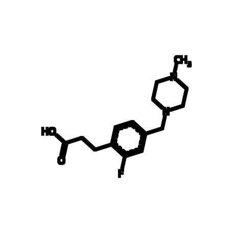 CN1CCN(Cc2ccc(CCC(=O)O)c(F)c2)CC1